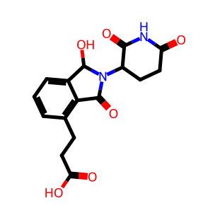 O=C(O)CCc1cccc2c1C(=O)N(C1CCC(=O)NC1=O)C2O